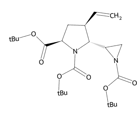 C=C[C@@H]1C[C@H](C(=O)OC(C)(C)C)N(C(=O)OC(C)(C)C)[C@H]1C1CN1C(=O)OC(C)(C)C